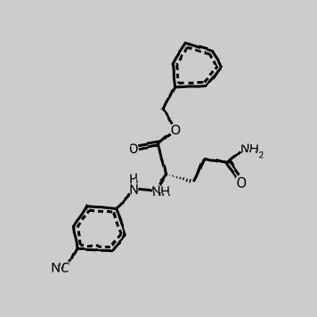 N#Cc1ccc(NN[C@@H](CCC(N)=O)C(=O)OCc2ccccc2)cc1